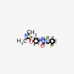 Cc1nc(C)c(Oc2ccc(-n3ncn(Cc4c(F)cccc4F)c3=O)cc2)s1